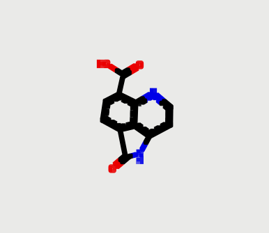 O=C(O)c1ccc2c3c(ccnc13)NC2=O